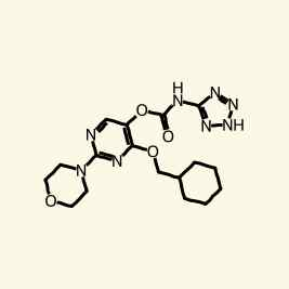 O=C(Nc1nn[nH]n1)Oc1cnc(N2CCOCC2)nc1OCC1CCCCC1